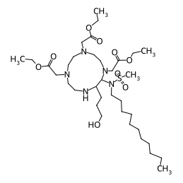 CCCCCCCCCCCN(C1C(CCCO)NCCN(CC(=O)OCC)CCN(CC(=O)OCC)CCN1CC(=O)OCC)S(C)(=O)=O